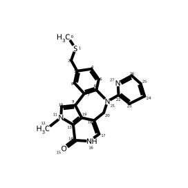 CSCc1ccc2c(c1)-c1cn(C)c3c(=O)[nH]cc(c13)CN2c1ccccn1